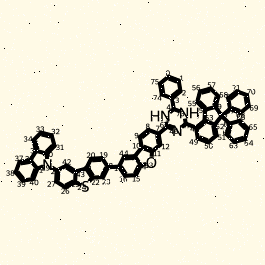 c1ccc(C2NC(c3ccc4c(c3)oc3ccc(-c5ccc6c(c5)sc5ccc(-n7c8ccccc8c8ccccc87)cc56)cc34)=NC(c3cccc4c3-c3ccccc3C4(c3ccccc3)c3ccccc3)N2)cc1